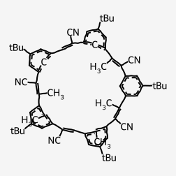 C/C1=C(/C#N)c2cc(cc(C(C)(C)C)c2)/C(C)=C(\C#N)c2cc(C(C)(C)C)cc(c2C)/C=C(\C#N)c2cc(C(C)(C)C)cc(c2C)/C(C)=C(\C#N)c2cc(cc(C(C)(C)C)c2)/C=C(\C#N)c2cc1cc(C(C)(C)C)c2